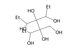 CCC(O)C(O)(CO)C(O)(C(O)CC)C(O)CC